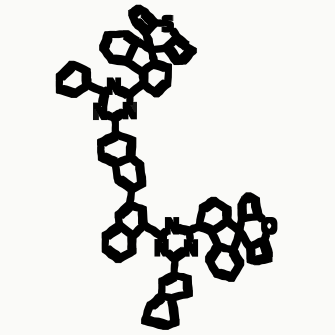 c1ccc(-c2nc(-c3ccc4cc(-c5cc(-c6nc(-c7ccc8ccccc8c7)nc(-c7cccc8c7-c7ccccc7C87c8ccccc8Oc8ccccc87)n6)c6ccccc6c5)ccc4c3)nc(-c3cccc4c3-c3ccccc3C43c4ccccc4Sc4ccccc43)n2)cc1